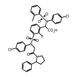 O=C(O)C(c1cccc(S(=O)(=O)N(CC(=O)N2CCCC2c2ccccc2)c2ccc(Cl)cc2)c1F)N(c1ccc(Cl)cc1)S(=O)(=O)c1ccccc1F